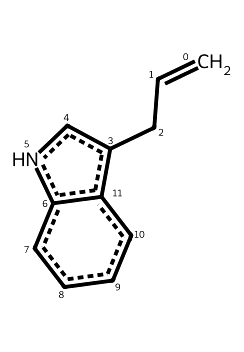 C=CCc1c[nH]c2ccc[c]c12